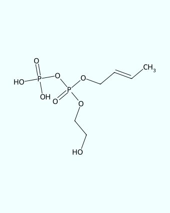 CC=CCOP(=O)(OCCO)OP(=O)(O)O